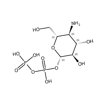 N[C@H]1[C@H](O)[C@@H](O)[C@H](OP(=O)(O)OP(=O)(O)O)O[C@@H]1CO